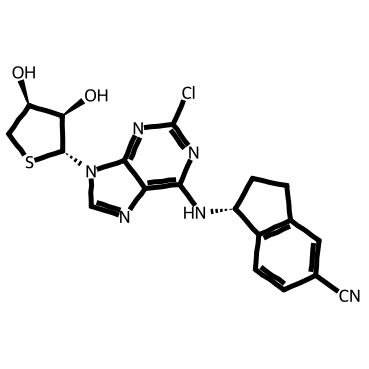 N#Cc1ccc2c(c1)CC[C@H]2Nc1nc(Cl)nc2c1ncn2[C@@H]1SC[C@@H](O)[C@H]1O